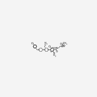 CC[C@H]1CN(c2nc(N)c(C(=O)NCCNS(C)(=O)=O)nc2Cl)CCN1C1CCN(Cc2ccc(Cl)cc2)CC1